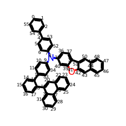 c1ccc(-c2ccc(N(c3ccc(-c4ccccc4-c4cc5ccccc5c5ccccc45)cc3)c3ccc4c(c3)oc3cc5ccccc5cc34)cc2)cc1